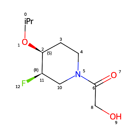 CC(C)O[C@H]1CCN(C(=O)CO)C[C@H]1F